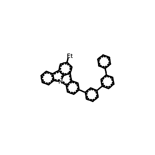 CCc1cc2c3ccccc3n3c4ccc(-c5cccc(-c6cccc(-c7ccccc7)c6)c5)cc4c(c1)c23